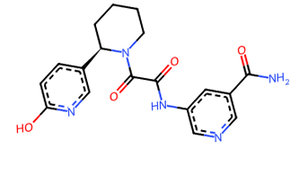 NC(=O)c1cncc(NC(=O)C(=O)N2CCCC[C@@H]2c2ccc(O)nc2)c1